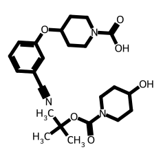 CC(C)(C)OC(=O)N1CCC(O)CC1.N#Cc1cccc(OC2CCN(C(=O)O)CC2)c1